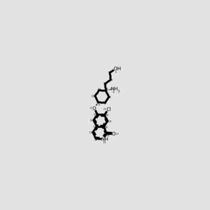 N[C@]1(CCCO)CC[C@H](Oc2cc3cc[nH]c(=O)c3cc2Cl)CC1